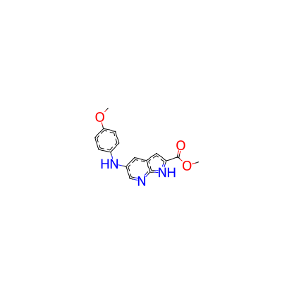 COC(=O)c1cc2cc(Nc3ccc(OC)cc3)cnc2[nH]1